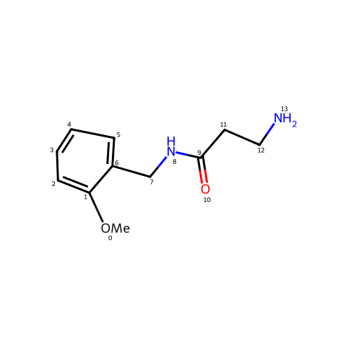 COc1ccccc1CNC(=O)CCN